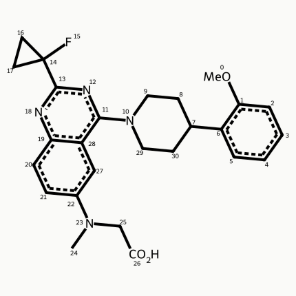 COc1ccccc1C1CCN(c2nc(C3(F)CC3)nc3ccc(N(C)CC(=O)O)cc23)CC1